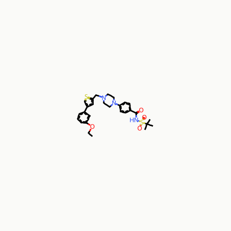 CCOc1cccc(-c2csc(CN3CCN(c4ccc(C(=O)NS(=O)(=O)C(C)(C)C)cc4)CC3)c2)c1